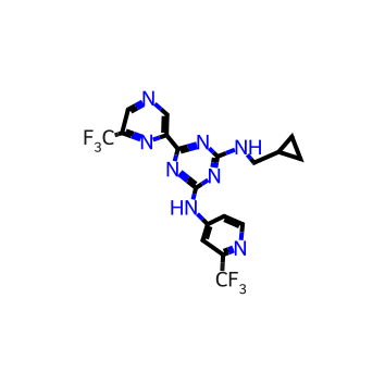 FC(F)(F)c1cc(Nc2nc(NCC3CC3)nc(-c3cncc(C(F)(F)F)n3)n2)ccn1